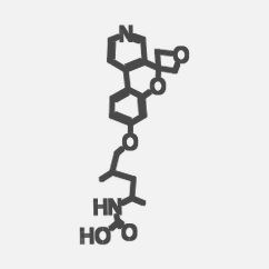 CC(COc1ccc2c(c1)OC1(COC1)c1cnccc1-2)CC(C)NC(=O)O